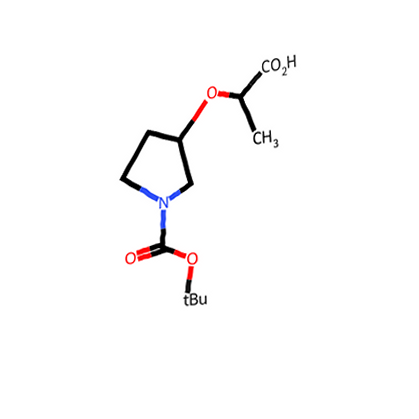 CC(OC1CCN(C(=O)OC(C)(C)C)C1)C(=O)O